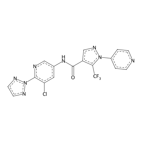 O=C(Nc1cnc(-n2nccn2)c(Cl)c1)c1cnn(-c2ccncc2)c1C(F)(F)F